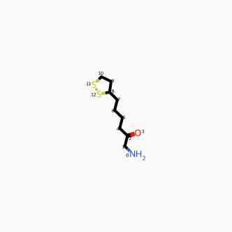 NCC(=O)CCCCC1CCSS1